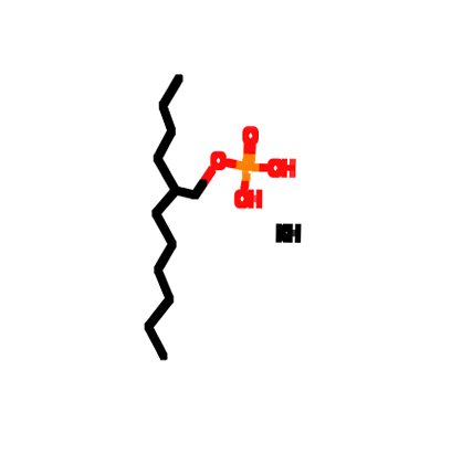 CCCCCCC(CCCC)COP(=O)(O)O.[KH]